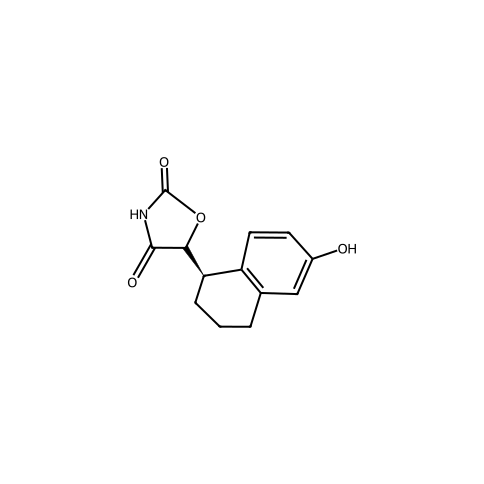 O=C1NC(=O)C([C@@H]2CCCc3cc(O)ccc32)O1